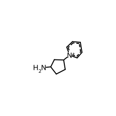 NC1CCC([n+]2ccccc2)C1